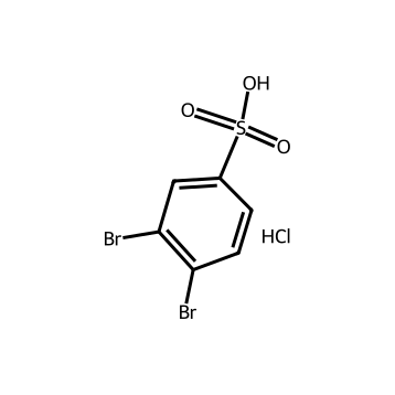 Cl.O=S(=O)(O)c1ccc(Br)c(Br)c1